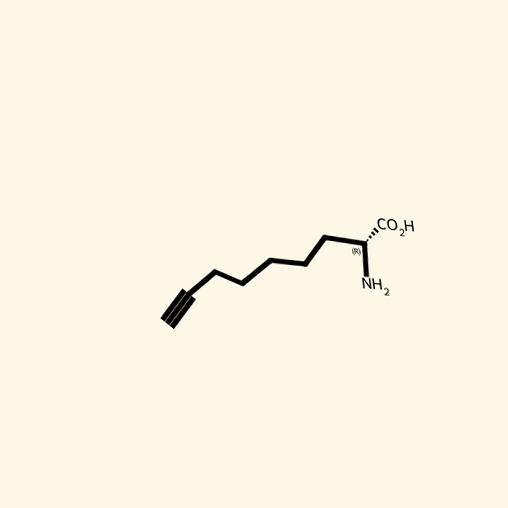 C#CCCCCC[C@@H](N)C(=O)O